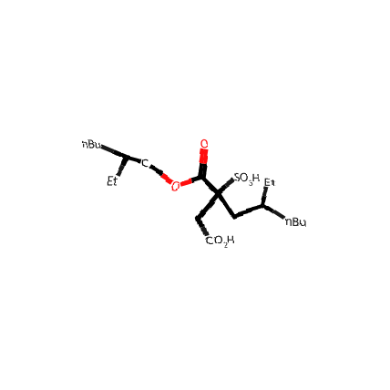 CCCCC(CC)COC(=O)C(CC(=O)O)(CC(CC)CCCC)S(=O)(=O)O